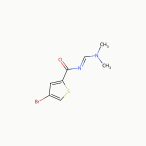 CN(C)/C=N/C(=O)c1cc(Br)cs1